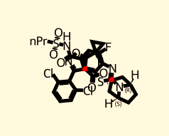 CCCS(=O)(=O)NC(=O)c1cc(F)c2nc(N3[C@@H]4CC[C@H]3C[C@H](OC(=O)c3c(-c5c(Cl)cccc5Cl)noc3C3(F)CC3)C4)sc2c1